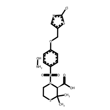 CC1(C)SCCN(S(=O)(=O)c2ccc(OCc3cnc(Cl)s3)cc2)[C@H]1C(=O)O.NO